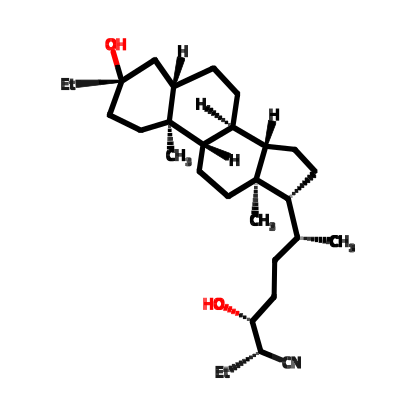 CC[C@@H](C#N)[C@H](O)CC[C@@H](C)[C@H]1CC[C@H]2[C@@H]3CC[C@H]4C[C@](O)(CC)CC[C@]4(C)[C@H]3CC[C@]12C